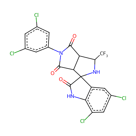 O=C1C2C(C(F)(F)F)NC3(C(=O)Nc4c(Cl)cc(Cl)cc43)C2C(=O)N1c1cc(Cl)cc(Cl)c1